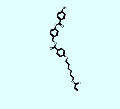 C=CC(=O)OCCCCCCOc1ccc(C(=O)OCc2ccc(OC(=O)c3ccc(O)cc3)cc2)cc1